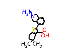 CC1(C)CCc2sc(-c3cccc4c3CCN(N)C4)c(C(=O)O)c2C1